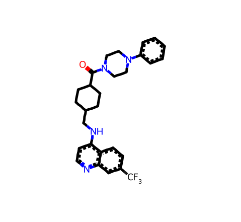 O=C(C1CCC(CNc2ccnc3cc(C(F)(F)F)ccc23)CC1)N1CCN(c2ccccc2)CC1